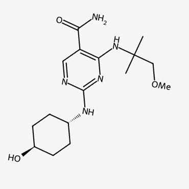 COCC(C)(C)Nc1nc(N[C@H]2CC[C@H](O)CC2)ncc1C(N)=O